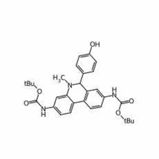 CN1c2cc(NC(=O)OC(C)(C)C)ccc2-c2ccc(NC(=O)OC(C)(C)C)cc2C1c1ccc(O)cc1